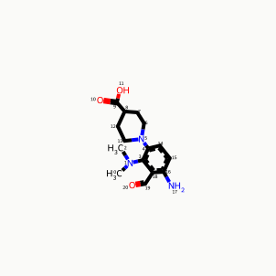 CN(C)c1c(N2CCC(C(=O)O)CC2)ccc(N)c1C=O